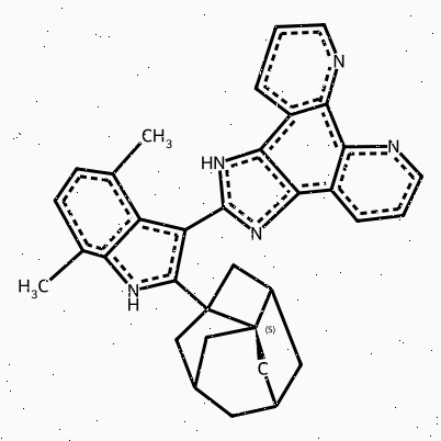 Cc1ccc(C)c2c(-c3nc4c5cccnc5c5ncccc5c4[nH]3)c(C34CC5CC6CC(C3)[C@]4(C6)C5)[nH]c12